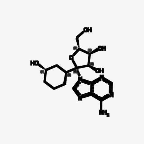 Nc1ncnc2c1ncn2[C@]1([C@H]2CCC[C@H](O)C2)O[C@H](CO)[C@@H](O)[C@H]1O